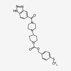 O=C(OCc1ccc(SC(F)(F)F)cc1)N1CCC(N2CCN(C(=O)c3ccc4[nH]nnc4c3)CC2)CC1